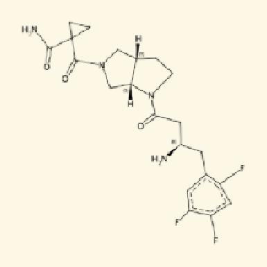 NC(=O)C1(C(=O)N2C[C@@H]3CCN(C(=O)C[C@H](N)Cc4cc(F)c(F)cc4F)[C@@H]3C2)CC1